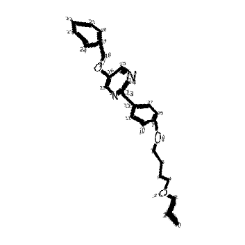 CCCOCCCCOc1ccc(-c2ncc(OCc3ccccc3)cn2)cc1